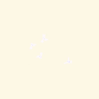 Brc1cnc2[nH]cc(C3=CCNCC3)c2n1.Cl